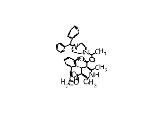 C#Cc1cccc(F)c1C1C(C(=O)OC)=C(C)NC(C)=C1C(=O)OC(C)N1CCN(C(c2ccccc2)c2ccccc2)CC1